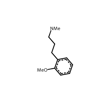 CNCCCc1ccccc1OC